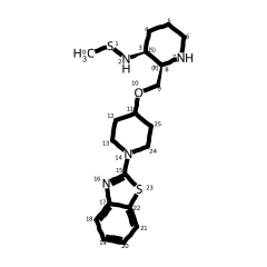 CSN[C@H]1CCCN[C@H]1COC1CCN(c2nc3ccccc3s2)CC1